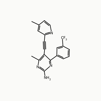 Cc1ccnc(C#Cc2c(C)nc(N)nc2-c2cccc(C(F)(F)F)c2)c1